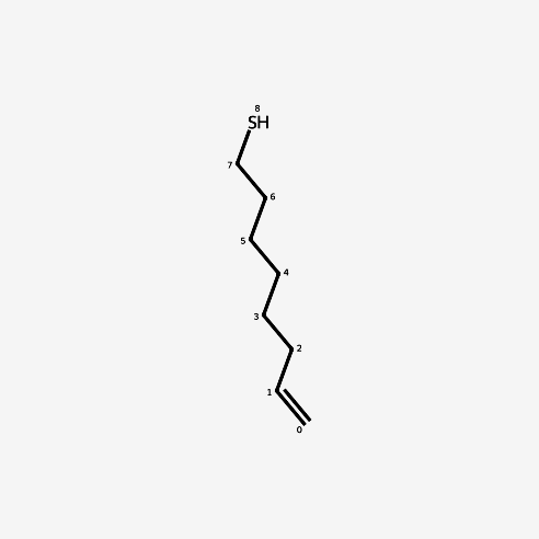 C=CCCCCCCS